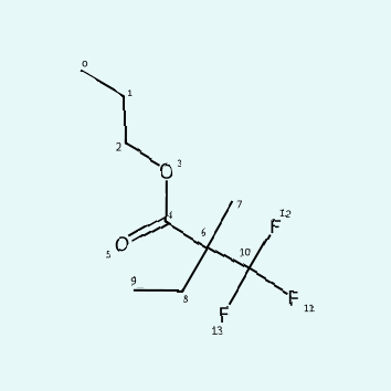 CCCOC(=O)C(C)(CC)C(F)(F)F